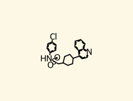 O=S(=O)(CC1CCC(c2ccnc3ccccc23)CC1)Nc1ccc(Cl)cc1